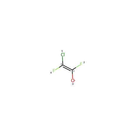 [O]/C(F)=C(\F)Cl